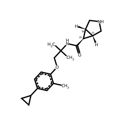 Cc1cc(C2CC2)ccc1OCC(C)(C)NC(=O)[C@H]1[C@@H]2CNC[C@@H]21